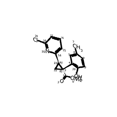 COC(=O)[C@]1(c2cc(C)ccc2O)C[C@H]1c1cccc(Cl)n1